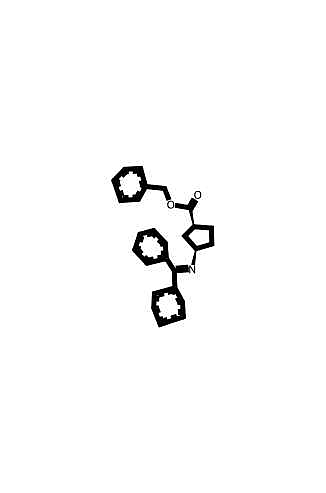 O=C(OCc1ccccc1)[C@H]1CC[C@@H](N=C(c2ccccc2)c2ccccc2)C1